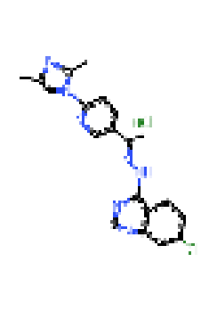 C/C(=N\Nc1ncnc2cc(Cl)ccc12)c1ccc(-n2cc(C)nc2C)nc1.Cl